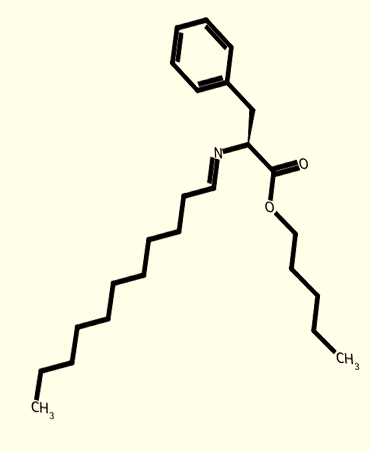 CCCCCCCCCCC=N[C@@H](Cc1ccccc1)C(=O)OCCCCC